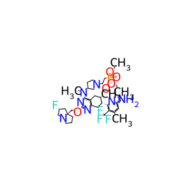 CCOP(=O)(CC(=O)N1CC[C@@H](N(C)c2nc(OC[C@@]34CCCN3C[C@H](F)C4)nc3c2C[C@@H](C)[C@H](c2nc(N)cc(C)c2C(F)(F)F)C3)C1)OCC